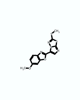 COc1ccc2nc(-c3cnc4sc(SC)nn34)oc2c1